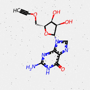 C#COC[C@H]1O[C@@H](n2cnc3c(=O)[nH]c(N)nc32)[C@H](O)[C@@H]1O